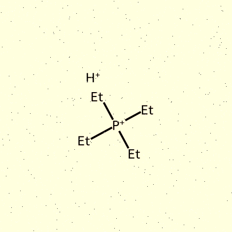 CC[P+](CC)(CC)CC.[H+]